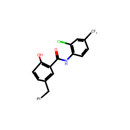 CC(C)Cc1ccc(O)c(C(=O)Nc2ccc(C(F)(F)F)cc2Cl)c1